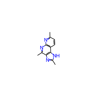 Cc1ccc2c(n1)nc(C)c1nc(C)[nH]c12